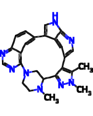 Cc1c2c(nn1C)C1CN(CCN1C)c1ncnc3ccc(cc13)-c1c[nH]c3ncc-2cc13